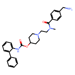 CN(CCN1CCC(OC(=O)Nc2ccccc2-c2ccccc2)CC1)C(=O)c1ccc(CN)cc1